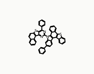 c1ccc(-c2ccc3c4c5c6ccccc6sc5c5ccccc5c4n(-c4nc(-c5ccccc5)c5sc6ccc7ccccc7c6c5n4)c3c2)cc1